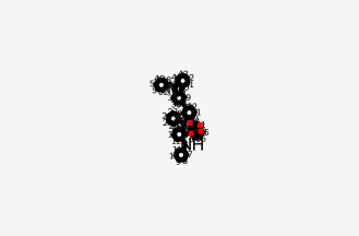 CC1=C(c2c(Nc3ccccc3)cccc2[Si](c2ccccc2)(c2ccccc2)c2cccc(-c3ccc4c(c3)c3ccccc3n4-c3ccccc3)c2)C=CCC1